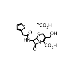 CC(=O)O.O=C(Cc1cccs1)NC1C(=O)N2C(C(=O)O)=C(CO)CSC12